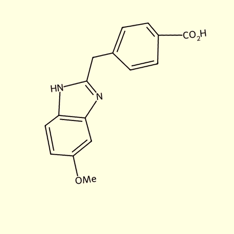 COc1ccc2[nH]c(Cc3ccc(C(=O)O)cc3)nc2c1